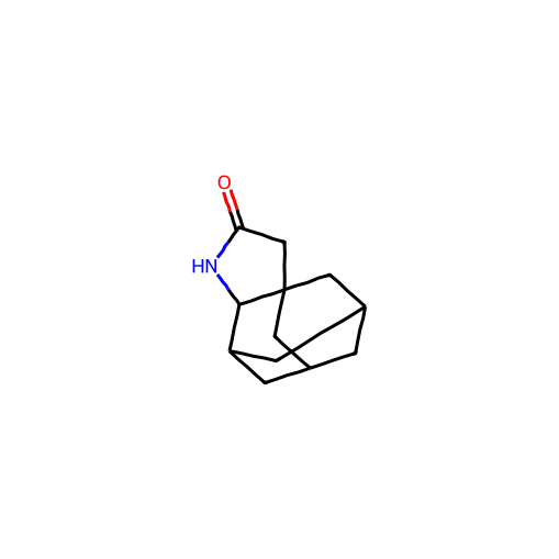 O=C1CC23CC4CC(CC(C4)C2N1)C3